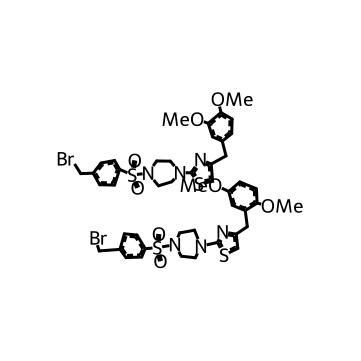 COc1ccc(Cc2csc(N3CCN(S(=O)(=O)c4ccc(CBr)cc4)CC3)n2)cc1OC.COc1ccc(OC)c(Cc2csc(N3CCN(S(=O)(=O)c4ccc(CBr)cc4)CC3)n2)c1